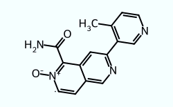 Cc1ccncc1-c1cc2c(C(N)=O)[n+]([O-])[c]cc2cn1